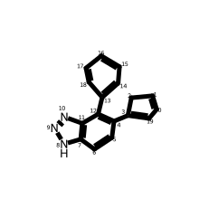 C1=CCC(c2ccc3[nH]nnc3c2-c2ccccc2)=C1